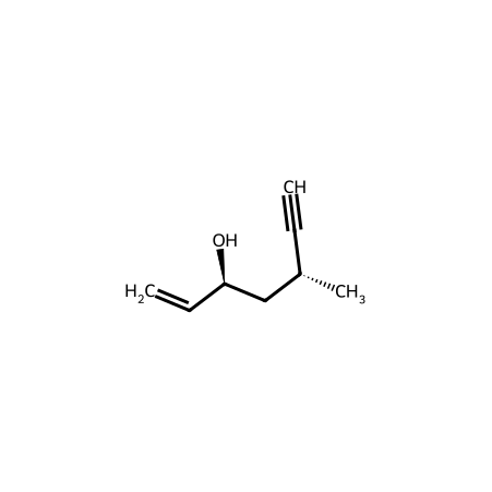 C#C[C@H](C)C[C@H](O)C=C